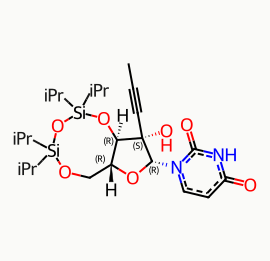 CC#C[C@]1(O)[C@@H]2O[Si](C(C)C)(C(C)C)O[Si](C(C)C)(C(C)C)OC[C@H]2O[C@H]1n1ccc(=O)[nH]c1=O